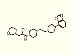 O=C(CC1CCCOC1)N[C@H]1CC[C@H](CCN2CCC(c3cccc4c3OCO4)CC2)CC1